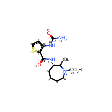 CC(C)(C)C1[C@@H](NC(=O)c2sccc2NC(N)=O)CCCCN1C(=O)O